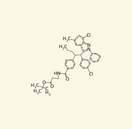 CCCC(c1ccc(C(=O)NCCC(=O)OC(C)(C)C)cc1)C(c1ccc(Cl)cc1)c1c2cc(C)cc(Cl)c2nn1-c1ccccc1